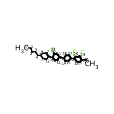 CCCCCC1CC=C(c2ccc(-c3ccc(-c4ccc(CC)c(F)c4F)cc3)cc2F)CC1